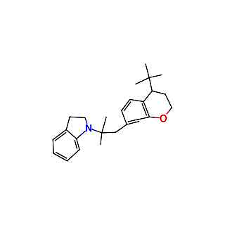 CC(C)(C)C1CCOc2cc(CC(C)(C)N3CCc4ccccc43)ccc21